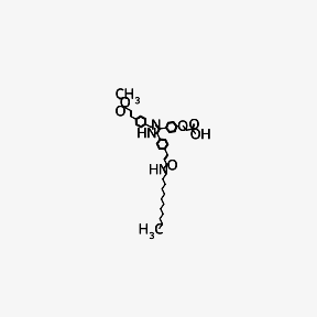 CCCCCCCCCCCCNC(=O)C=Cc1ccc(-c2[nH]c(-c3ccc(C=CC(=O)OCC)cc3)nc2-c2ccc(OCC(=O)O)cc2)cc1